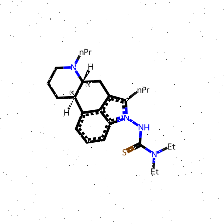 CCCc1c2c3c(cccc3n1NC(=S)N(CC)CC)[C@H]1CCCN(CCC)[C@@H]1C2